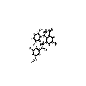 COc1cc(F)cc(C(=O)Nc2cc(Br)cc3c2C(c2cc(F)ccc2Cl)NC3=O)c1